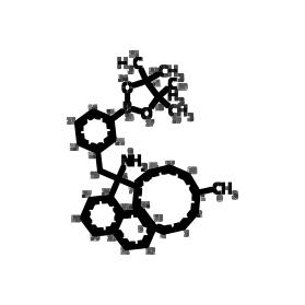 Cc1cccccc(C(N)(Cc2cccc(B3OC(C)(C)C(C)(C)O3)c2)c2cccc3ccccc23)ccc1